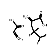 C=C(CC(F)(F)C(F)F)C(=O)O.C=CC(=O)O